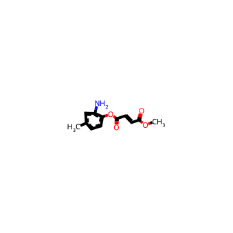 COC(=O)/C=C/C(=O)Oc1ccc(C)cc1N